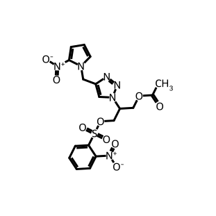 CC(=O)OCC(COS(=O)(=O)c1ccccc1[N+](=O)[O-])n1cc(Cn2cccc2[N+](=O)[O-])nn1